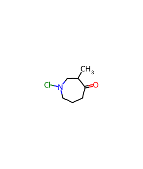 CC1CN(Cl)CCCC1=O